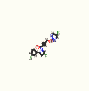 O=C(N1CC(F)CC1c1cccc(F)c1)C12CC(COc3ncc(F)cn3)(C1)C2